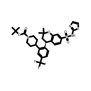 CC(C)(C)OC(=O)N1CCC(c2cc(C(F)(F)F)ccc2[C@H]2CC(C)(C)Oc3cc(S(=O)(=O)Nc4nccs4)ccc32)CC1